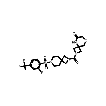 O=C1COCC2(CN(C(=O)N3CC4(CCN(S(=O)(=O)c5ccc(C(F)(F)F)cc5F)CC4)C3)C2)N1